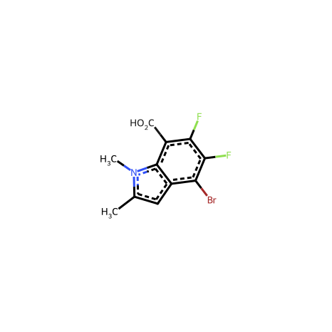 Cc1cc2c(Br)c(F)c(F)c(C(=O)O)c2n1C